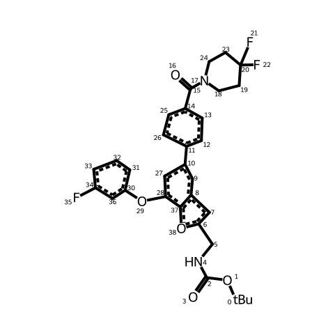 CC(C)(C)OC(=O)NCc1cc2cc(-c3ccc(C(=O)N4CCC(F)(F)CC4)cc3)cc(Oc3cccc(F)c3)c2o1